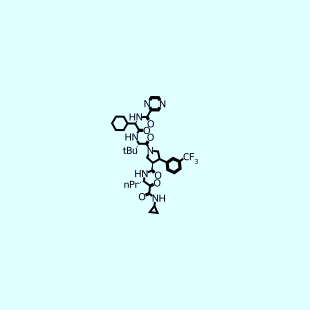 CCC[C@H](NC(=O)[C@H]1CN(C(=O)[C@@H](NC(=O)[C@@H](NC(=O)c2cnccn2)C2CCCCC2)C(C)(C)C)CC1c1cccc(C(F)(F)F)c1)C(=O)C(=O)NC1CC1